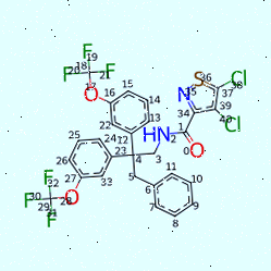 O=C(NCC(Cc1ccccc1)(c1cccc(OC(F)(F)F)c1)c1cccc(OC(F)(F)F)c1)c1nsc(Cl)c1Cl